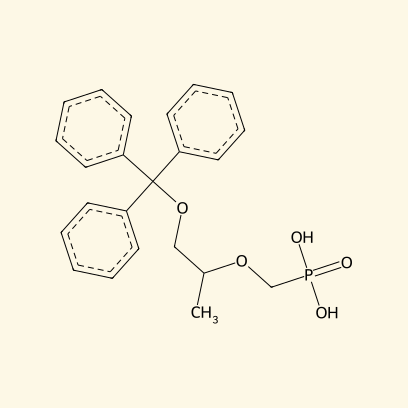 CC(COC(c1ccccc1)(c1ccccc1)c1ccccc1)OCP(=O)(O)O